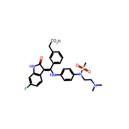 CN(C)CCN(c1ccc(NC(=C2C(=O)Nc3cc(F)ccc32)c2cccc(CC(=O)O)c2)cc1)S(C)(=O)=O